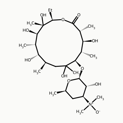 CC[C@H]1OC(=O)[C@H](C)[C@@H](O)[C@H](C)[C@@H](O[C@@H]2O[C@H](C)C[C@H]([N+](C)(C)[O-])[C@H]2O)C(C)(O)C[C@@H](C)[C@H](O)[C@H](C)[C@@H](O)[C@]1(C)O